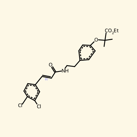 CCOC(=O)C(C)(C)Oc1ccc(CCNC(=O)/C=C/c2ccc(Cl)c(Cl)c2)cc1